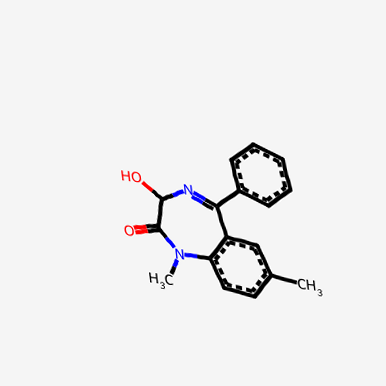 Cc1ccc2c(c1)C(c1ccccc1)=NC(O)C(=O)N2C